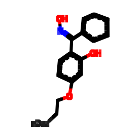 CCCCCCCCCCCCOc1ccc(C(=NO)c2ccccc2)c(O)c1